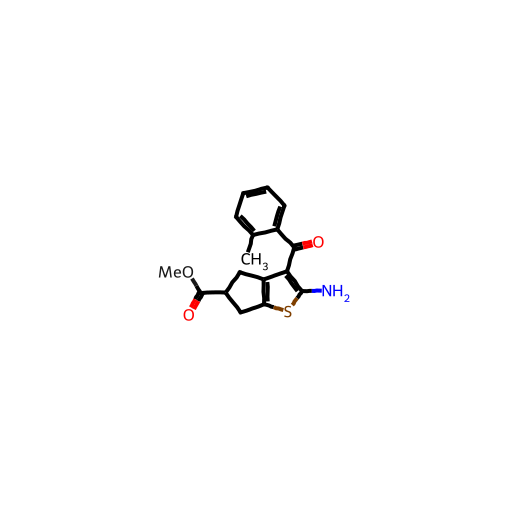 COC(=O)C1Cc2sc(N)c(C(=O)c3ccccc3C)c2C1